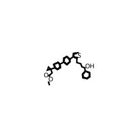 CCOC(=O)CC1(c2ccc(-c3ccc(-c4ccsc4CCCC(O)c4ccccc4)cc3)cc2)CC1